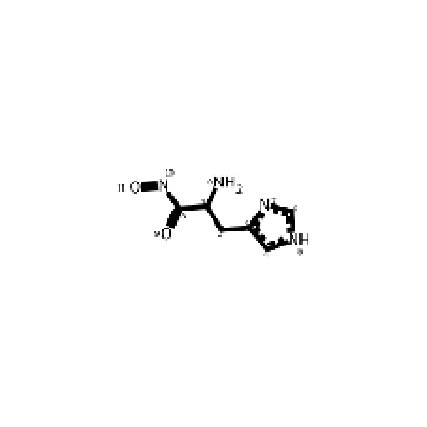 NC(Cc1c[nH]cn1)C(=O)N=O